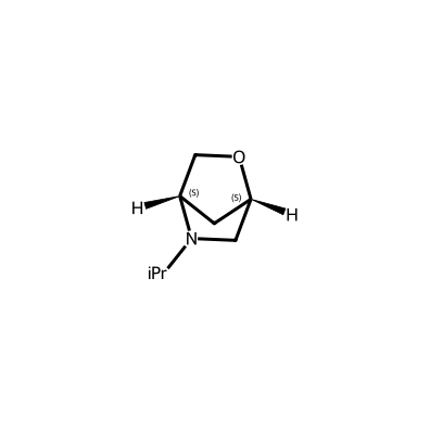 CC(C)N1C[C@@H]2C[C@H]1CO2